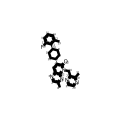 Cc1cnc2cc([C@H]3CC[C@H](c4c(C)cccc4F)CC3)c(=O)n(Cc3nccnc3C)c2n1